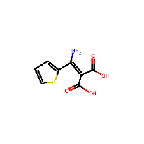 NC(=C(C(=O)O)C(=O)O)c1cccs1